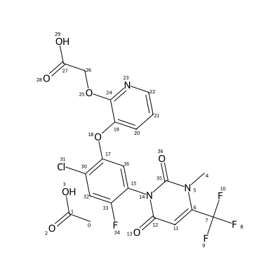 CC(=O)O.Cn1c(C(F)(F)F)cc(=O)n(-c2cc(Oc3cccnc3OCC(=O)O)c(Cl)cc2F)c1=O